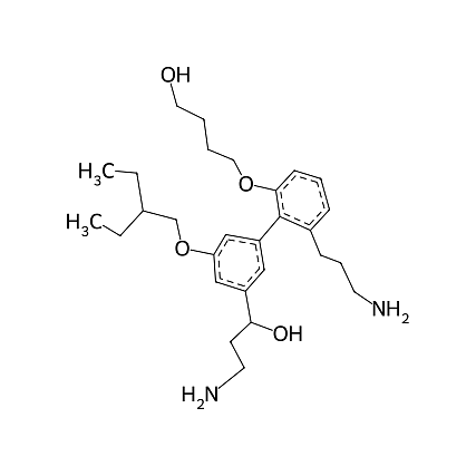 CCC(CC)COc1cc(-c2c(CCCN)cccc2OCCCCO)cc(C(O)CCN)c1